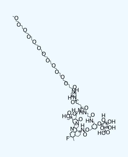 CC[C@@]1(O)C(=O)OCc2c1cc1n(c2=O)Cc2c-1nc1cc(F)c(C)c3c1c2[C@@H](NC(=O)OCc1ccc(O[C@@H]2O[C@H](C(=O)O)[C@@H](O)[C@H](O)[C@H]2O)c(CNC(=O)CCNC(=O)[C@@H](N)CCCC(=O)N2C[C@@H]4C[C@H]2CN4C(=O)CCOCCOCCOCCOCCOCCOCCOCCOCCOCCOCCOCCOC)c1)CC3